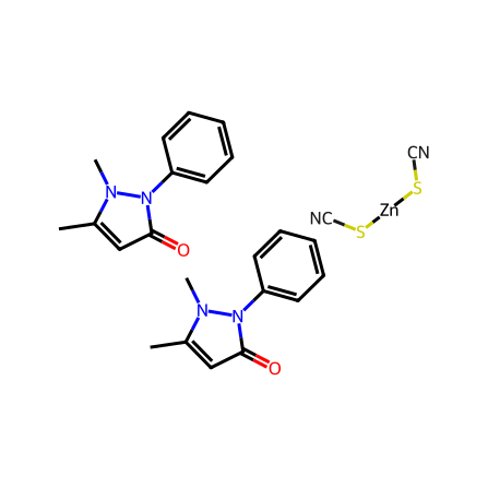 Cc1cc(=O)n(-c2ccccc2)n1C.Cc1cc(=O)n(-c2ccccc2)n1C.N#C[S][Zn][S]C#N